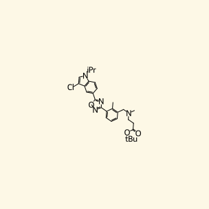 Cc1c(CN(C)CCC(=O)OC(C)(C)C)cccc1-c1noc(-c2ccc3c(c2)c(Cl)cn3C(C)C)n1